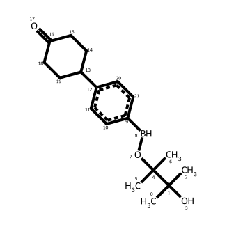 CC(C)(O)C(C)(C)OBc1ccc(C2CCC(=O)CC2)cc1